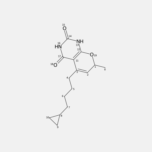 CC1C=C(CCCCC2CC2)c2c([nH]c(=O)[nH]c2=O)O1